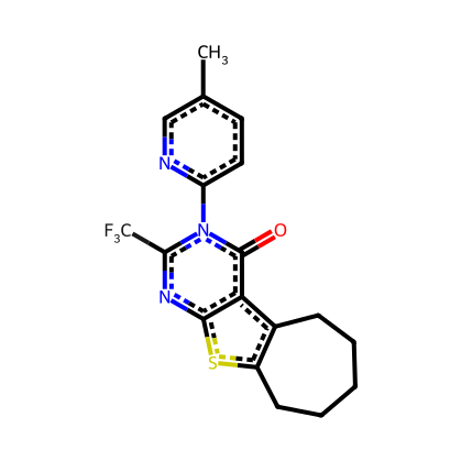 Cc1ccc(-n2c(C(F)(F)F)nc3sc4c(c3c2=O)CCCCC4)nc1